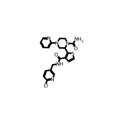 NC(=O)N1CCN(c2ccccn2)CC1c1sccc1C(=O)NCc1ccc(Cl)nc1